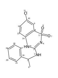 CC(NC1=NS(=O)(=O)c2cc(Cl)ccc2N1)c1ccccc1